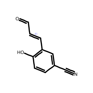 N#Cc1ccc(O)c(/C=C/C=O)c1